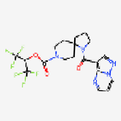 O=C(OC(C(F)(F)F)C(F)(F)F)N1CCC2(CCCN2C(=O)c2cnn3cccnc23)CC1